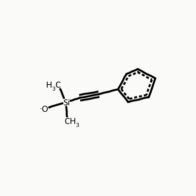 C[Si](C)([O])C#Cc1ccccc1